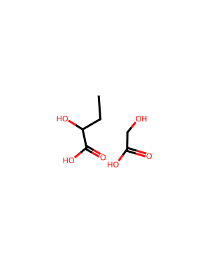 CCC(O)C(=O)O.O=C(O)CO